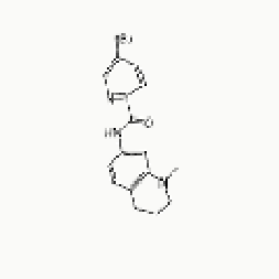 CN1CCCc2ccc(NC(=O)c3ccc(C(C)(C)C)cn3)cc21